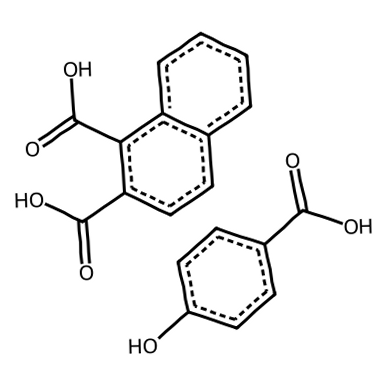 O=C(O)c1ccc(O)cc1.O=C(O)c1ccc2ccccc2c1C(=O)O